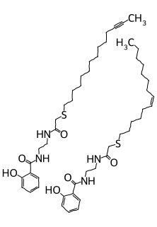 CC#CCCCCCCCCCCCSCC(=O)NCCNC(=O)c1ccccc1O.CCCCCCC/C=C\CCCCCSCC(=O)NCCNC(=O)c1ccccc1O